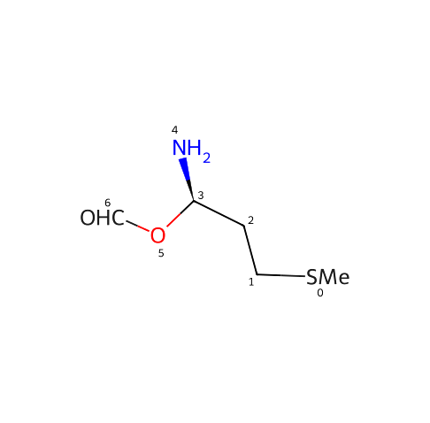 CSCC[C@H](N)OC=O